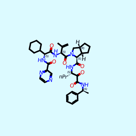 C=C(C)[C@H](NC(=O)[C@@H](NC(=O)c1cnccn1)C1CCCCC1)C(=O)N1C[C@@H]2CCC[C@@H]2[C@H]1C(=O)N[C@@H](CCC)C(=O)C(=O)N[C@@H](C)c1ccccc1